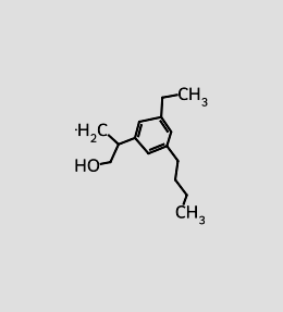 [CH2]C(CO)c1cc(CC)cc(CCCC)c1